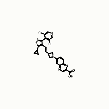 O=C(O)c1cnc2cc(N3CC(C=Cc4c(-c5c(Cl)cncc5Cl)noc4C4CC4)C3)ccc2n1